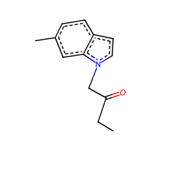 CCC(=O)Cn1ccc2ccc(C)cc21